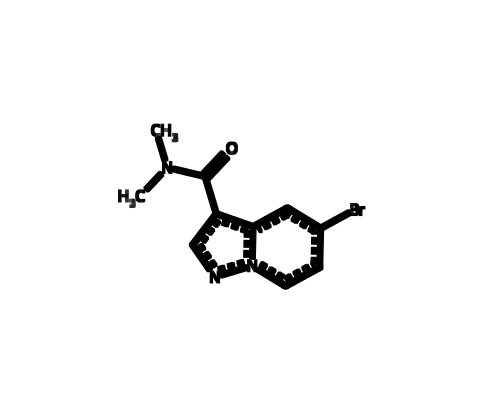 CN(C)C(=O)c1cnn2ccc(Br)cc12